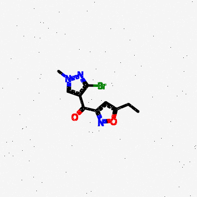 CCc1cc(C(=O)c2cn(C)nc2Br)no1